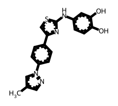 Cc1cnn(-c2ccc(-c3csc(Nc4ccc(O)c(O)c4)n3)cc2)c1